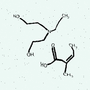 CC=C(C)C(=O)O.CCN(CCO)CCO